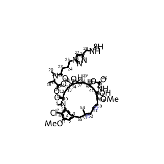 COc1cc2cc(c1Cl)N(C)C(=O)C[C@H](OC(=O)C(C)N(C)C(=O)CCCn1cc(CNS)nn1)[C@]1(C)O[C@H]1[C@H](C)[C@@H]1C[C@@](O)(NC(=O)O1)[C@H](OC)/C=C/C=C(\C)C2